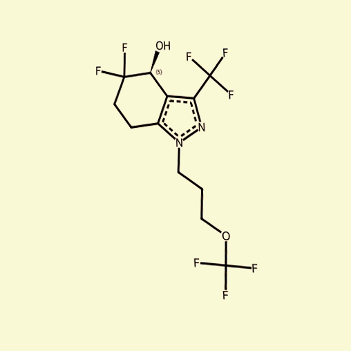 O[C@H]1c2c(C(F)(F)F)nn(CCCOC(F)(F)F)c2CCC1(F)F